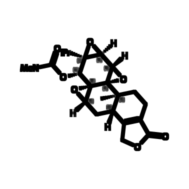 CNC(=O)O[C@@H]1[C@@]2(C(C)C)O[C@H]2[C@@H]2O[C@]23[C@]12O[C@H]2C[C@H]1C2=C(CC[C@@]13C)C(=O)OC2